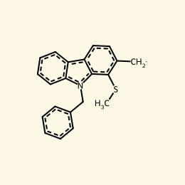 [CH2]c1ccc2c3ccccc3n(Cc3ccccc3)c2c1SC